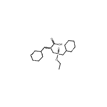 CCOP(=O)(CC(=CC1CCCCC1)C(=O)O)CC1CCCCC1